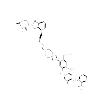 CCc1cc(Nc2ncc(Cl)c(Nc3ccccc3P(C)(C)=O)n2)c(OC)cc1N1CC2(CCN(CCCC#Cc3cccc4c3CN(C3CCC(=O)NC3=O)C4=O)CC2)C1